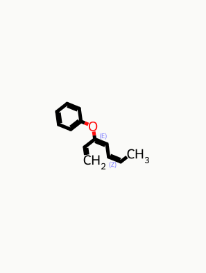 C=C/C(=C\C=C/C)Oc1ccccc1